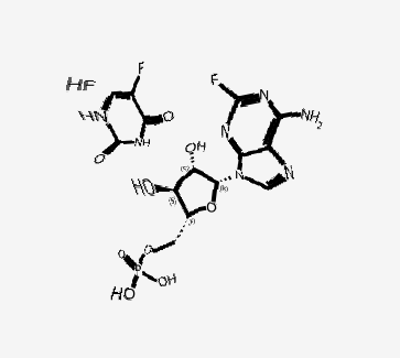 F.Nc1nc(F)nc2c1ncn2[C@@H]1O[C@H](COP(=O)(O)O)[C@@H](O)[C@@H]1O.O=c1[nH]cc(F)c(=O)[nH]1